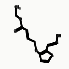 CCOC(=O)C=CCOc1ccsc1C=NO